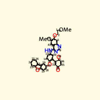 COCCOc1cc2ncnc(Nc3ccc(Oc4ccc5oc6ccccc6c5c4)c(C4=CC(=O)C=CC4=O)c3)c2cc1OC